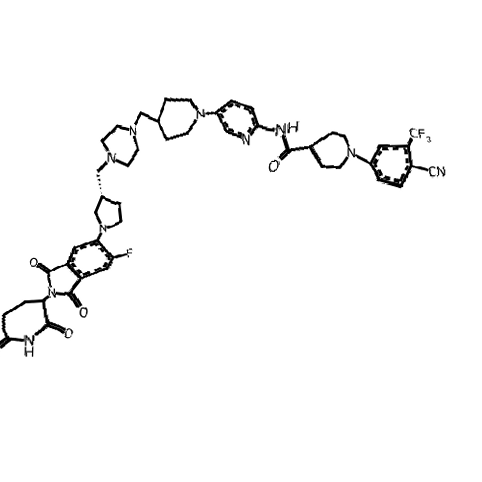 N#Cc1ccc(N2CCC(C(=O)Nc3ccc(N4CCC(CN5CCN(C[C@@H]6CCN(c7cc8c(cc7F)C(=O)N(C7CCC(=O)NC7=O)C8=O)C6)CC5)CC4)cn3)CC2)cc1C(F)(F)F